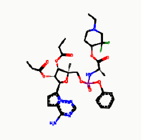 CCC(=O)O[C@H]1[C@H](c2ccc3c(N)ncnn23)O[C@](C)(COP(=O)(N[C@@H](C)C(=O)OC2CCN(CC)CC2(F)F)Oc2ccccc2)[C@H]1OC(=O)CC